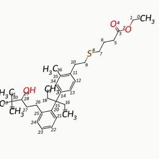 CCOC(=O)CCCSCCc1ccc(C(CC)(CC)c2ccccc2CCC(O)C(C)(C)C)cc1C